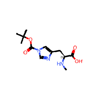 CN[C@@H](Cc1cn(C(=O)OC(C)(C)C)cn1)C(=O)O